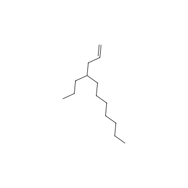 C=CCC(CCC)CCCCCCC